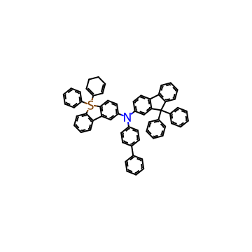 C1=CC(S2(c3ccccc3)c3ccccc3-c3cc(N(c4ccc(-c5ccccc5)cc4)c4ccc5c(c4)C(c4ccccc4)(c4ccccc4)c4ccccc4-5)ccc32)=CCC1